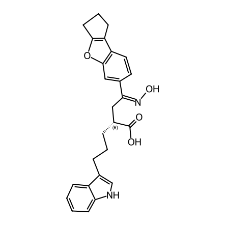 O=C(O)[C@H](CCCc1c[nH]c2ccccc12)CC(=NO)c1ccc2c3c(oc2c1)CCC3